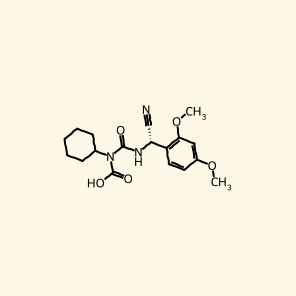 COc1ccc([C@@H](C#N)NC(=O)N(C(=O)O)C2CCCCC2)c(OC)c1